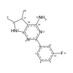 CC1Nc2nc(-c3cccc(F)c3)nc(N)c2C1C